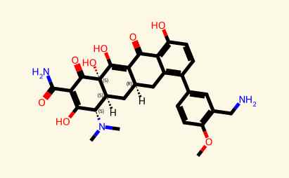 COc1ccc(-c2ccc(O)c3c2C[C@H]2C[C@H]4[C@H](N(C)C)C(O)=C(C(N)=O)C(=O)[C@@]4(O)C(O)=C2C3=O)cc1CN